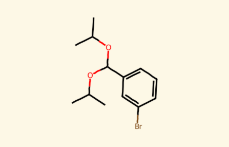 CC(C)OC(OC(C)C)c1cccc(Br)c1